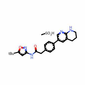 CC(C)(C)c1cc(NC(=O)Cc2ccc(-c3cnc4c(c3)CCCN4)cc2)no1.CS(=O)(=O)O